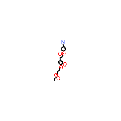 C=CC(=O)OCCCCOc1ccc(/C=C/C(=O)Oc2ccc(C#N)cc2)cc1OC